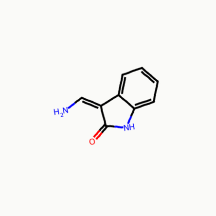 NC=C1C(=O)Nc2ccccc21